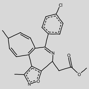 COC(=O)CC1N=C(c2ccc(Cl)cc2)C2=C(C=CC(C)C=C2)c2c(C)noc21